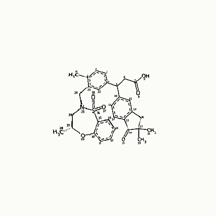 Cc1ccc(C(CC(=O)O)c2ccc3c(c2)CC(C)(C)C3=O)cc1CN1C[C@@H](C)Oc2ccccc2S1(=O)=O